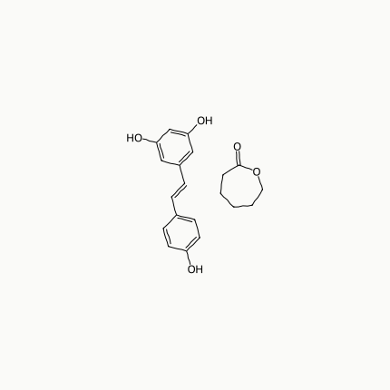 O=C1CCCCCO1.Oc1ccc(C=Cc2cc(O)cc(O)c2)cc1